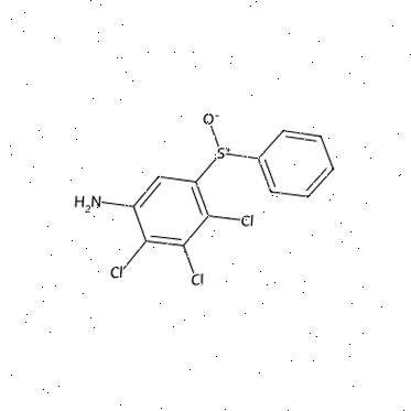 Nc1cc([S+]([O-])c2ccccc2)c(Cl)c(Cl)c1Cl